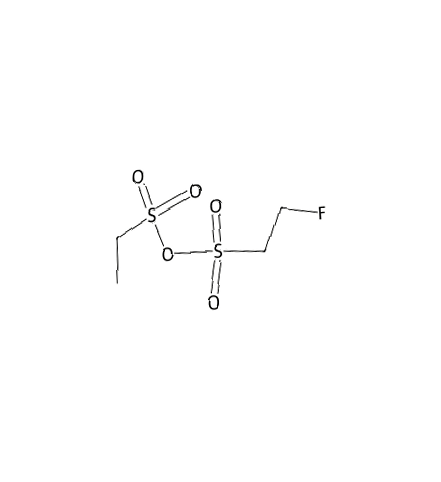 CCS(=O)(=O)OS(=O)(=O)CCF